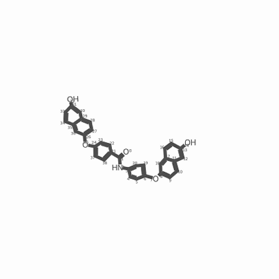 O=C(Nc1ccc(Oc2ccc3cc(O)ccc3c2)cc1)c1ccc(Oc2ccc3cc(O)ccc3c2)cc1